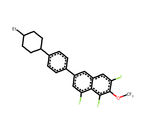 CCC1CCC(c2ccc(-c3cc(F)c4c(F)c(OC(F)(F)F)c(F)cc4c3)cc2)CC1